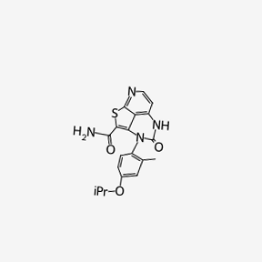 Cc1cc(OC(C)C)ccc1N1C(=O)Nc2ccnc3sc(C(N)=O)c1c23